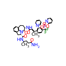 C/C(=C\C(=O)N[C@H]1CCc2cccc3c2N(C1=O)[C@H](C(=O)NC(C)CCC(N)=O)C3)c1ccc(C(F)(F)P(=O)(Oc2ccccn2)Oc2ccccn2)cc1